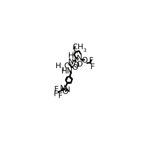 CC[C@H]1CCN(C(=O)OCC(F)F)[C@@H](C(=O)N[C@@H](C)C(=O)NCc2ccc(-c3noc(C(F)(F)F)n3)cc2)C1